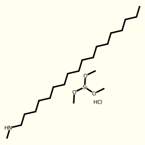 CCCCCCCCCCCCCCCCCCNC.CO[Si](OC)OC.Cl